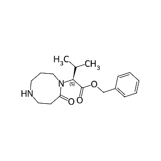 CC(C)[C@@H](C(=O)OCc1ccccc1)N1CCCNCCC1=O